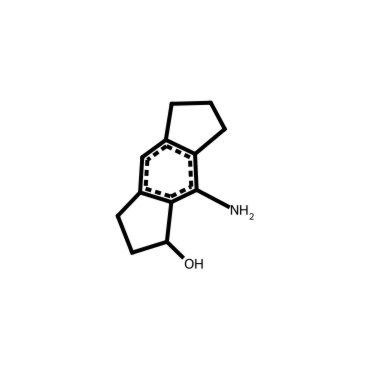 Nc1c2c(cc3c1C(O)CC3)CCC2